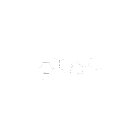 CCN(CC)c1ccc(C=C2C(=O)Nc3ccc(Br)c(C)c32)cc1